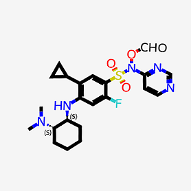 CN(C)[C@H]1CCCC[C@@H]1Nc1cc(F)c(S(=O)(=O)N(OC=O)c2ccncn2)cc1C1CC1